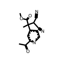 COC(=O)C(C)(c1ccnc(C(C)=O)c1)C(C#N)C#N